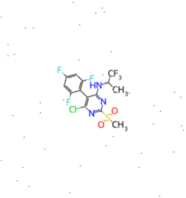 CC(Nc1nc(S(C)(=O)=O)nc(Cl)c1-c1c(F)cc(F)cc1F)C(F)(F)F